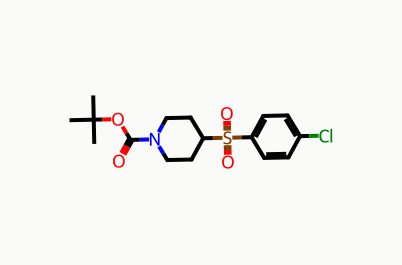 CC(C)(C)OC(=O)N1CCC(S(=O)(=O)c2ccc(Cl)cc2)CC1